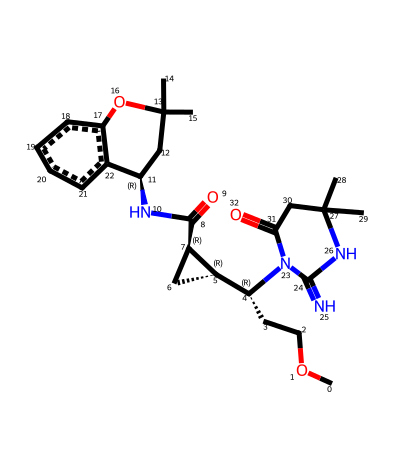 COCC[C@H]([C@@H]1C[C@H]1C(=O)N[C@@H]1CC(C)(C)Oc2ccccc21)N1C(=N)NC(C)(C)CC1=O